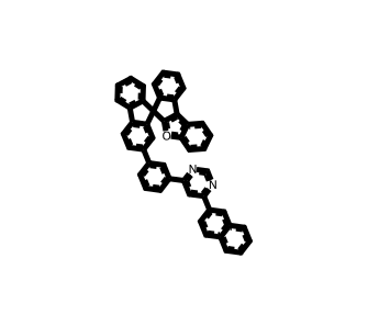 c1cc(-c2ccc3c(c2)C2(c4ccccc4-3)c3ccccc3-c3c2oc2ccccc32)cc(-c2cc(-c3ccc4ccccc4c3)ncn2)c1